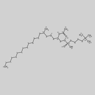 CCCCCCCCCCCCCCC(C)COCC(COP(=O)(O)CCCC[N+](C)(C)C)OC(C)=O